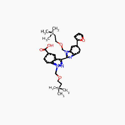 C[Si](C)(C)CCOCn1nc(-c2nc3ccc(-c4ccco4)cc3n2COCC[Si](C)(C)C)c2cc(C(=O)O)ccc21